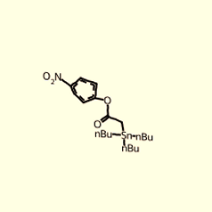 CCC[CH2][Sn]([CH2]CCC)([CH2]CCC)[CH2]C(=O)Oc1ccc([N+](=O)[O-])cc1